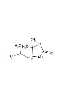 CC(C)C[C@H]1NC(=O)OC1(C)C